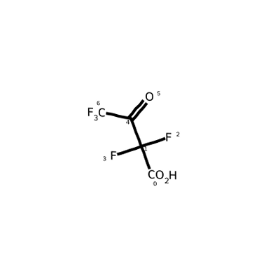 O=C(O)C(F)(F)C(=O)C(F)(F)F